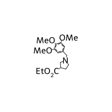 CCOC(=O)C1CCN(Cc2cc(OC)c(OC)c(OC)c2)C1